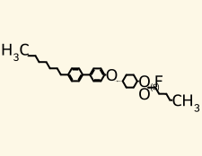 CCCCCCCCc1ccc(-c2ccc(OC[C@H]3CC[C@H](OC(=O)[C@@H](F)CCCC)CC3)cc2)cc1